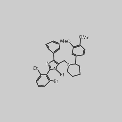 CCc1cccc(CC)c1-c1nc(-c2ccccc2)c(CN2CCCCC2c2ccc(OC)c(OC)c2)n1CC